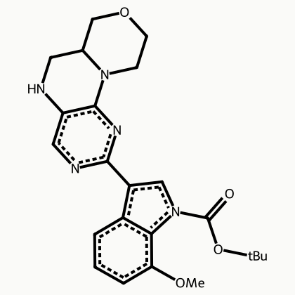 COc1cccc2c(-c3ncc4c(n3)N3CCOCC3CN4)cn(C(=O)OC(C)(C)C)c12